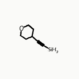 [SiH3]C#CC1CCOCC1